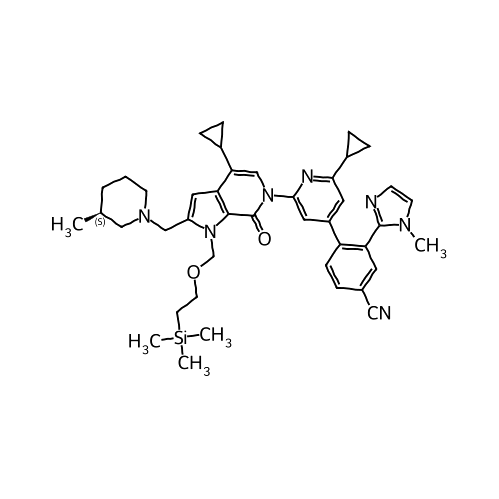 C[C@H]1CCCN(Cc2cc3c(C4CC4)cn(-c4cc(-c5ccc(C#N)cc5-c5nccn5C)cc(C5CC5)n4)c(=O)c3n2COCC[Si](C)(C)C)C1